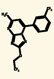 Cc1cc(-c2cccc(C(F)(F)F)c2)n2nc(OCC(F)(F)F)nc2n1